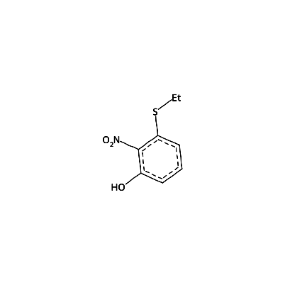 CCSc1cccc(O)c1[N+](=O)[O-]